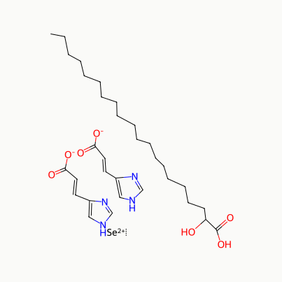 CCCCCCCCCCCCCCCCCCC(O)C(=O)O.O=C([O-])C=Cc1c[nH]cn1.O=C([O-])C=Cc1c[nH]cn1.[Se+2]